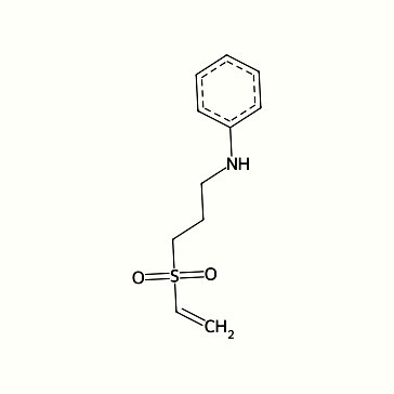 C=CS(=O)(=O)CCCNc1ccccc1